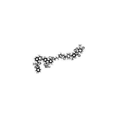 Cc1c(OCCC[C@@H]2CCN(CC(=O)N3CCN(c4cc5c(cc4F)C(=O)N(C4CCC(=O)NC4=O)C5=O)CC3)C2)cccc1-c1ccc(N2CCc3cccc(C(=O)Nc4nc5ccccc5s4)c3C2)nc1C(=O)OC(C)(C)C